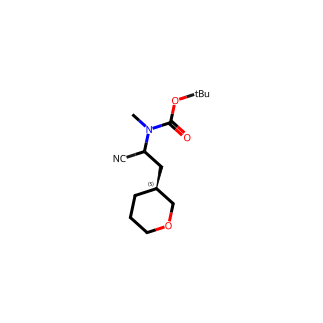 CN(C(=O)OC(C)(C)C)C(C#N)C[C@@H]1CCCOC1